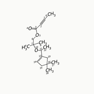 CC#CC(=O)OCC(C)(C)OC(C)C1=CCC(C)(C)C1